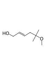 COC(C)(C)C/C=C/CO